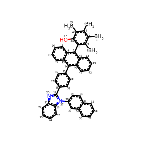 Bc1c(B)c(B)c(-c2c3ccccc3c(-c3ccc(-c4nc5ccccc5n4-c4ccc5ccccc5c4)cc3)c3ccccc23)c(O)c1B